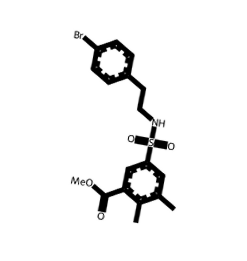 COC(=O)c1cc(S(=O)(=O)NCCc2ccc(Br)cc2)cc(C)c1C